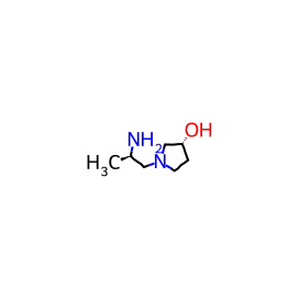 C[C@@H](N)CN1CC[C@@H](O)C1